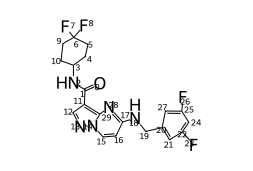 O=C(NC1CCC(F)(F)CC1)c1cnn2ccc(NCc3cc(F)cc(F)c3)nc12